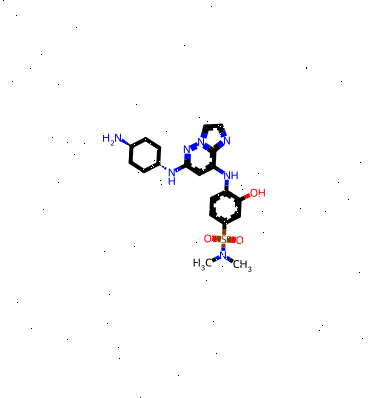 CN(C)S(=O)(=O)c1ccc(Nc2cc(N[C@H]3CC[C@H](N)CC3)nn3ccnc23)c(O)c1